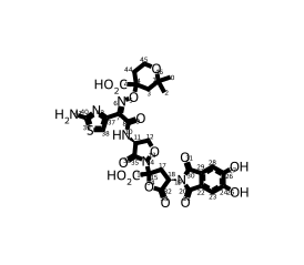 CC1(C)CC(O/N=C(\C(=O)N[C@H]2CON(C3(C(=O)O)C[C@H](N4C(=O)c5cc(O)c(O)cc5C4=O)C(=O)O3)C2=O)c2csc(N)n2)(C(=O)O)CCO1